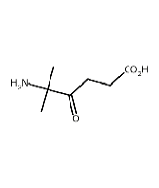 CC(C)(N)C(=O)CCC(=O)O